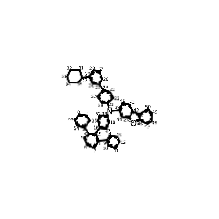 c1ccc(-c2cccc(-c3ccccc3)c2-c2ccc(N(c3ccc(-c4cccc(C5CCCCC5)c4)cc3)c3ccc4c(c3)oc3ccccc34)cc2)cc1